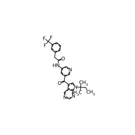 CCC(C)(C)n1cc(C(=O)c2cncc(NC(=O)Cc3cccc(C(F)(F)F)c3)c2)c2cncnc21